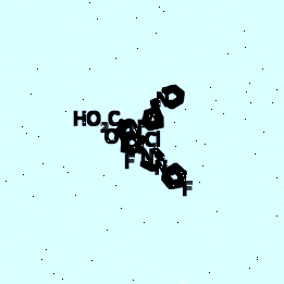 O=C(O)c1cn(-c2cccc(CN3CCCCC3)c2)c2c(Cl)c(N3CCN(c4ccc(F)cc4)CC3)c(F)cc2c1=O